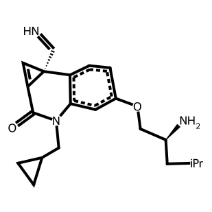 CC(C)C[C@H](N)COc1ccc2c(c1)N(CC1CC1)C(=O)C1=C[C@]12C=N